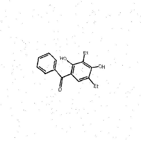 CCc1cc(C(=O)c2ccccc2)c(O)c(CC)c1O